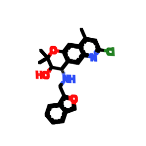 Cc1cc(Cl)nc2cc3c(cc12)OC(C)(C)[C@H](O)[C@H]3NCc1occ2ccccc12